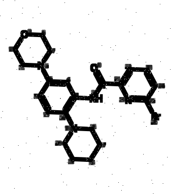 O=C(Nc1cc(N2CCOCC2)ccc1N1CCCCC1)c1cccc(Br)n1